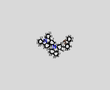 CC1C=C(N(c2ccc(-c3ccccc3-n3c4ccccc4c4ccccc43)cc2)c2cccc3ccccc23)C=CC1c1cccc2c1sc1ccccc12